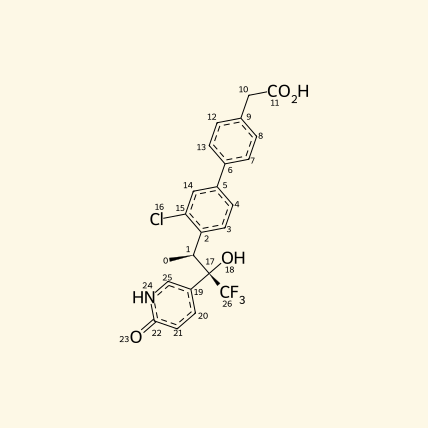 C[C@@H](c1ccc(-c2ccc(CC(=O)O)cc2)cc1Cl)[C@](O)(c1ccc(=O)[nH]c1)C(F)(F)F